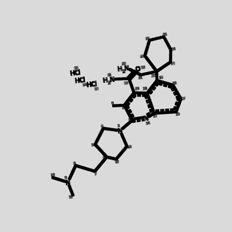 Cc1c(N2CCC(CCN(C)C)CC2)nc2cccc(C3(CN)CCCCC3)c2c1C(N)=O.Cl.Cl.Cl